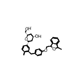 Cc1ccc([C@H]2C[C@@H](O)C[C@@H](CO)O2)cc1Cc1ccc(OCC2OC(C)c3ccccc32)cc1